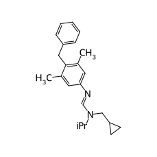 Cc1cc(N=CN(CC2CC2)C(C)C)cc(C)c1Cc1ccccc1